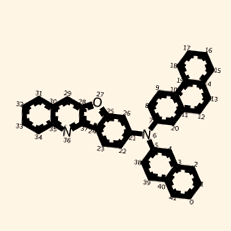 c1ccc2cc(N(c3ccc4c(ccc5ccccc54)c3)c3ccc4c(c3)oc3cc5ccccc5nc34)ccc2c1